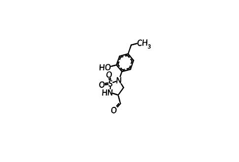 CCc1ccc(N2CC(C=O)NS2(=O)=O)c(O)c1